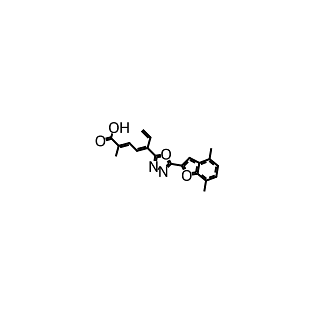 C=C/C(=C\C=C(/C)C(=O)O)c1nnc(-c2cc3c(C)ccc(C)c3o2)o1